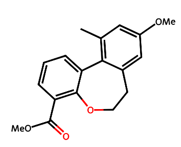 COC(=O)c1cccc2c1OCCc1cc(OC)cc(C)c1-2